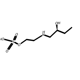 CC[C@H](O)CNCCOS(=O)(=O)O